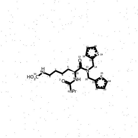 CCCC(=O)N[C@@H](CCCCNC(=O)O)C(=O)N(Cc1cccs1)Cc1cccs1